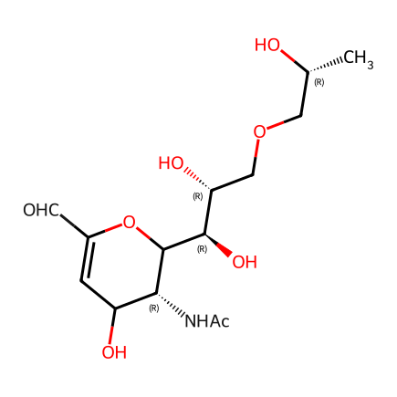 CC(=O)N[C@@H]1C(O)C=C(C=O)OC1[C@H](O)[C@H](O)COC[C@@H](C)O